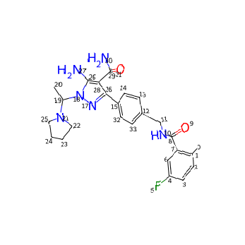 Cc1ccc(F)cc1C(=O)NCc1ccc(-c2nn(C(C)N3CCCC3)c(N)c2C(N)=O)cc1